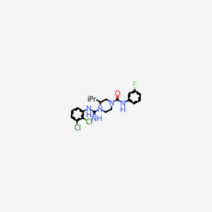 CC(C)C1CN(C(=O)Nc2cccc(F)c2)CCN1C(=N)Nc1cccc(Cl)c1Cl